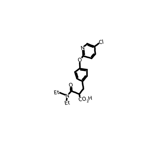 CCN(CC)C(=O)C(Cc1ccc(Oc2ccc(Cl)cn2)cc1)C(=O)O